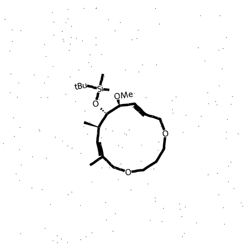 CO[C@H]1/C=C/COCCCOC/C(C)=C\[C@@H](C)[C@@H]1O[Si](C)(C)C(C)(C)C